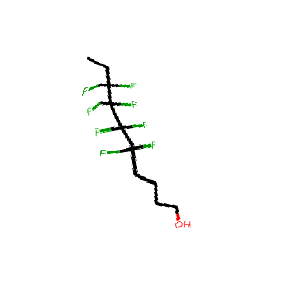 CCC(F)(F)C(F)(F)C(F)(F)C(F)(F)CCCCO